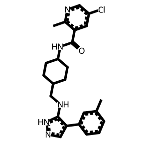 Cc1cccc(-c2cn[nH]c2NCC2CCC(NC(=O)c3cc(Cl)cnc3C)CC2)c1